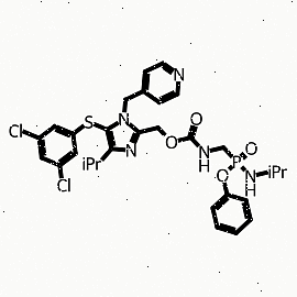 CC(C)NP(=O)(CNC(=O)OCc1nc(C(C)C)c(Sc2cc(Cl)cc(Cl)c2)n1Cc1ccncc1)Oc1ccccc1